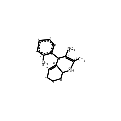 CC1=C([N+](=O)[O-])C(c2ccccc2C(F)(F)F)C2=CCCCC2N1